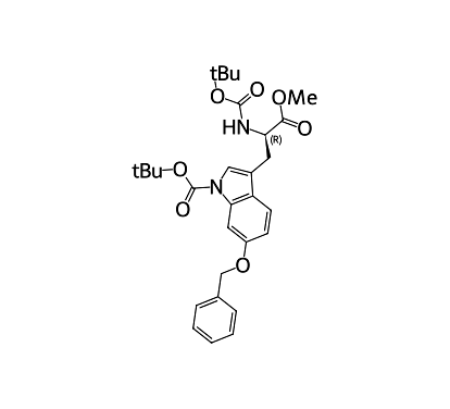 COC(=O)[C@@H](Cc1cn(C(=O)OC(C)(C)C)c2cc(OCc3ccccc3)ccc12)NC(=O)OC(C)(C)C